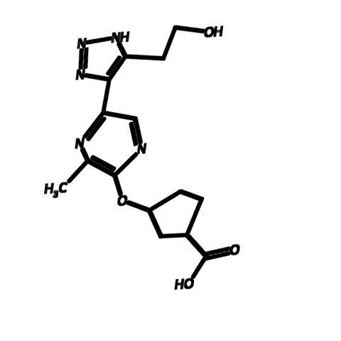 Cc1nc(-c2nn[nH]c2CCO)cnc1OC1CCC(C(=O)O)C1